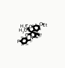 CCOc1ccc2c(c1)OC(C)(C)CC21C(=O)N(Cc2ccc(F)cc2)c2ccccc21